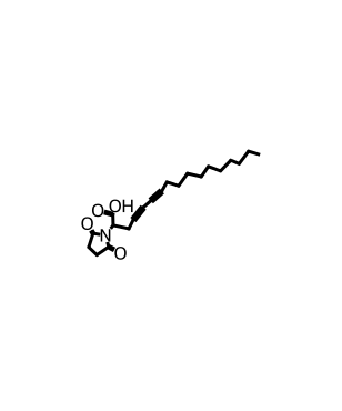 CCCCCCCCCCC#CC#CCC(C(=O)O)N1C(=O)CCC1=O